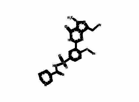 CCOc1ccc(S(=O)(=O)NC(=O)c2cccnc2)cc1-c1nc2c(CC(C)C)nn(C)c2c(=O)[nH]1